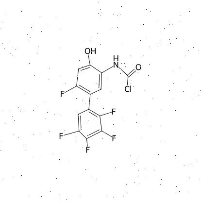 O=C(Cl)Nc1cc(-c2cc(F)c(F)c(F)c2F)c(F)cc1O